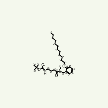 CCCCCCCCCCCCOc1ccccc1CN(C)C(=O)CCCNC(=O)OC(C)(C)C